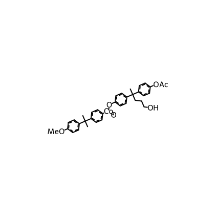 COc1ccc(C(C)(C)c2cc[c]([Co](=[O])[O]c3ccc(C(C)(CCCO)c4ccc(OC(C)=O)cc4)cc3)cc2)cc1